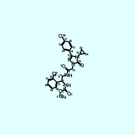 CC(C)(C)OC(=O)NC(CNC(=O)Cn1nc(-c2ccc(Cl)cc2)n(C2CC2)c1=O)c1ccccc1C(F)(F)F